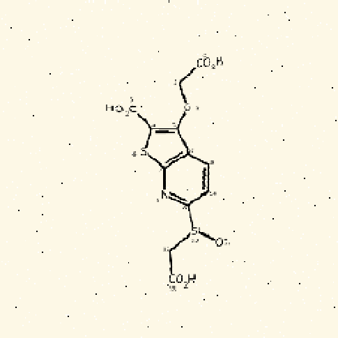 O=C(O)COc1c(C(=O)O)sc2nc([S+]([O-])CC(=O)O)ccc12